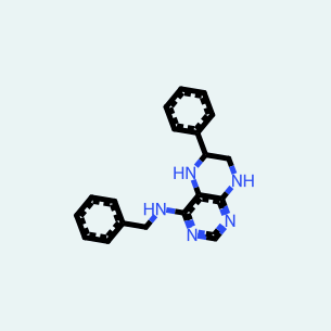 c1ccc(CNc2ncnc3c2NC(c2ccccc2)CN3)cc1